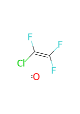 FC(F)=C(F)Cl.[O]